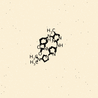 Cc1cnc(Nc2ccc(N3CC[C@@H](N(C)C)C3)nc2)nc1Nc1ccc2oc(=O)[nH]c2c1